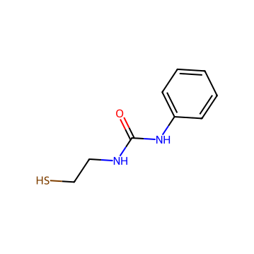 O=C(NCCS)Nc1ccccc1